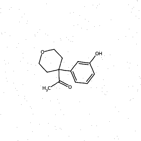 CC(=O)C1(c2cccc(O)c2)CCOCC1